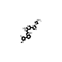 COc1cc(F)cc(-c2cccc3[nH]c(-c4n[nH]c5ncc(-c6cncc(N7CC(N)C7)n6)cc45)cc23)c1